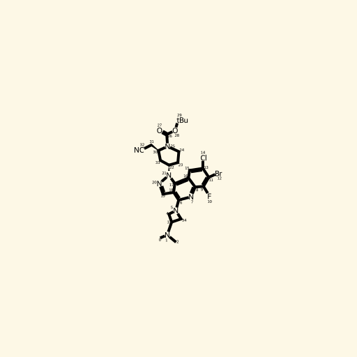 CN(C)C1CN(c2nc3c(F)c(Br)c(Cl)cc3c3c2cnn3[C@H]2CCN(C(=O)OC(C)(C)C)[C@H](CC#N)C2)C1